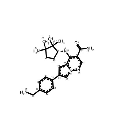 CC1(C)[C@H](Nc2c(C(N)=O)cnn3cc(-c4ccc(CN)cc4)cc23)CC[C@]1(C)N